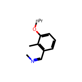 CCCOc1cccc(/C=N\C)c1C